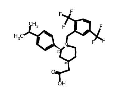 CC(C)c1ccc([C@@H]2C[C@H](CC(=O)O)CCN2Cc2cc(C(F)(F)F)ccc2C(F)(F)F)cc1